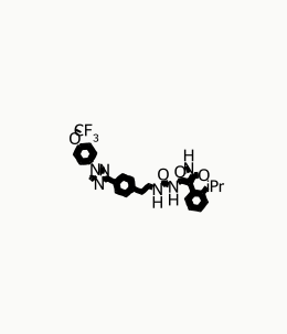 CC(C)c1ccccc1-c1c(NC(=O)NCCc2ccc(-c3ncn(-c4ccc(OC(F)(F)F)cc4)n3)cc2)o[nH]c1=O